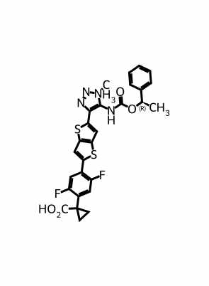 C[C@@H](OC(=O)Nc1c(-c2cc3sc(-c4cc(F)c(C5(C(=O)O)CC5)cc4F)cc3s2)nnn1C)c1ccccc1